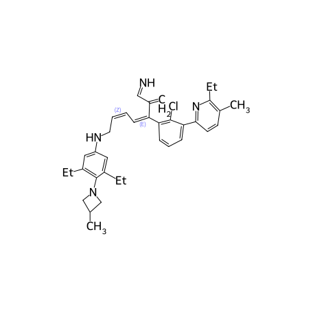 C=C(C=N)/C(=C\C=C/CNc1cc(CC)c(N2CC(C)C2)c(CC)c1)c1cccc(-c2ccc(C)c(CC)n2)c1Cl